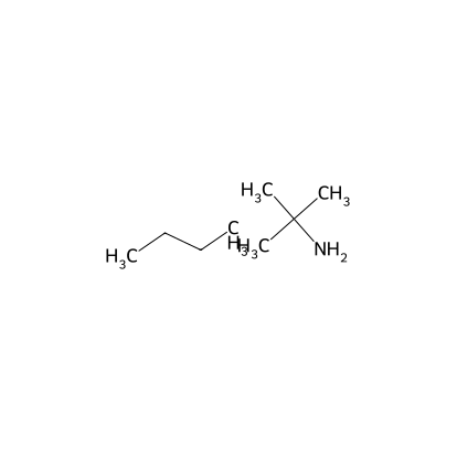 CC(C)(C)N.CCCC